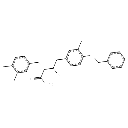 COC(=O)[C@H](Cc1ccc(C)c(C)c1)[C@@H](Cc1ccc(OCc2ccccc2)c(C)c1)C(C)=O